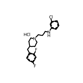 Cl.Fc1ccc(CC2CCN(CCCNc3cccc(Cl)c3)CC2)c(F)c1